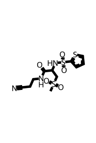 CS(=O)(=O)CC(NS(=O)(=O)c1cccs1)C(=O)NCCC#N